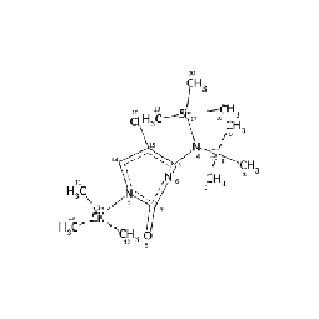 C[Si](C)(C)N(c1nc(=O)n([Si](C)(C)C)cc1Cl)[Si](C)(C)C